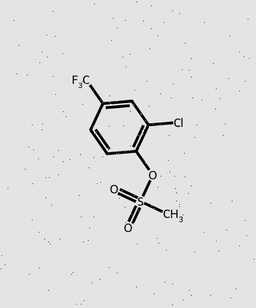 CS(=O)(=O)Oc1ccc(C(F)(F)F)cc1Cl